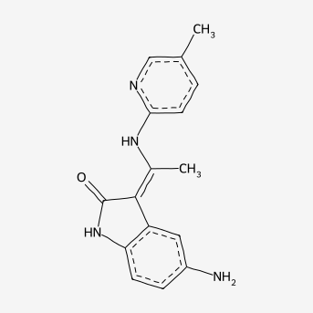 C/C(Nc1ccc(C)cn1)=C1/C(=O)Nc2ccc(N)cc21